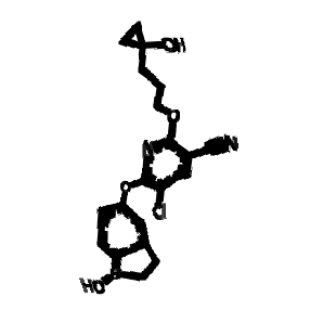 N#Cc1cc(Cl)c(Oc2ccc3c(c2)CCB3O)nc1OCCCC1(O)CC1